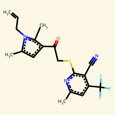 C=CCn1c(C)cc(C(=O)CSc2nc(C)cc(C(F)(F)F)c2C#N)c1C